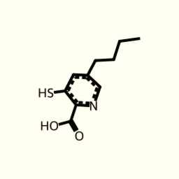 CCCCc1cnc(C(=O)O)c(S)c1